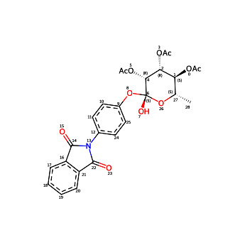 CC(=O)O[C@@H]1[C@@H](OC(C)=O)[C@@H](OC(C)=O)[C@@](O)(Oc2ccc(N3C(=O)c4ccccc4C3=O)cc2)O[C@H]1C